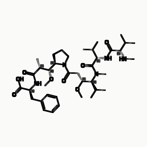 CN[C@H](C(=O)N[C@H](C(=O)N(C)[C@@H](C(C)C)[C@@H](CC(=O)N1CCC[C@@H]1[C@H](OC)[C@@H](C)C(=O)N[C@@H](Cc1ccccc1)C(=O)O)OC)C(C)C)C(C)C